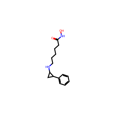 O=C(CCCCCNC1CC1c1ccccc1)NO